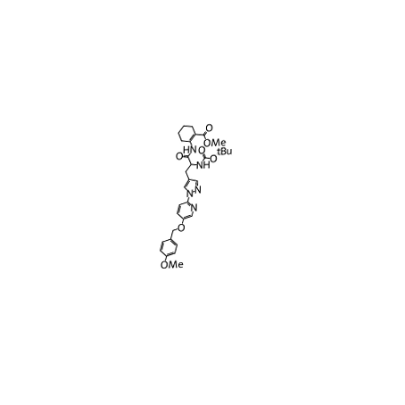 COC(=O)C1=C(NC(=O)C(Cc2cnn(-c3ccc(OCc4ccc(OC)cc4)cn3)c2)NC(=O)OC(C)(C)C)CCCC1